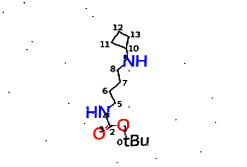 CC(C)(C)OC(=O)NCCCCNC1CCC1